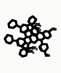 CC(C)(C)C1C=CC(N(C2CC3C4B(C5=C6C(CC(C7CCCCC7)C5)C5(CCCCC5)C(C)(C)N63)C3CC(C5CCCCC5)=CC5C3N(C4C2)C(C)(C)C52CCCCC2)C2CCC(C(C)(C)C)CC2C2=CCCC=C2)CC1